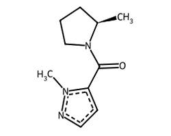 C[C@@H]1CCCN1C(=O)c1ccnn1C